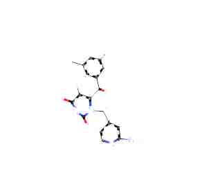 Cc1cc(Br)cc(C(=O)c2c(C(C)C)c(=O)[nH]c(=O)n2Cc2ccnc(N)c2)c1